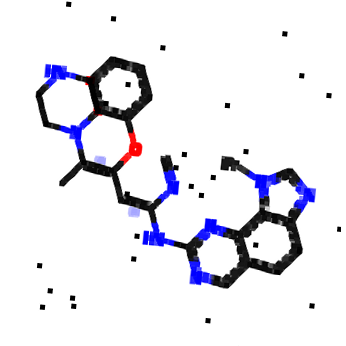 C=N/C(=C\C(Oc1ccccc1)=C(/C)N1CCNCC1)Nc1ncc2ccc3ncn(C(C)C)c3c2n1